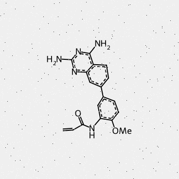 C=CC(=O)Nc1cc(-c2ccc3c(N)nc(N)nc3c2)ccc1OC